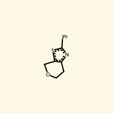 CC(C)c1nc2c(s1)COCC2